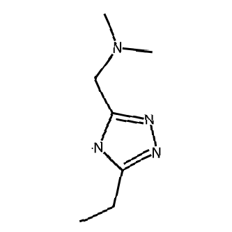 CCC1=NN=C(CN(C)C)[N]1